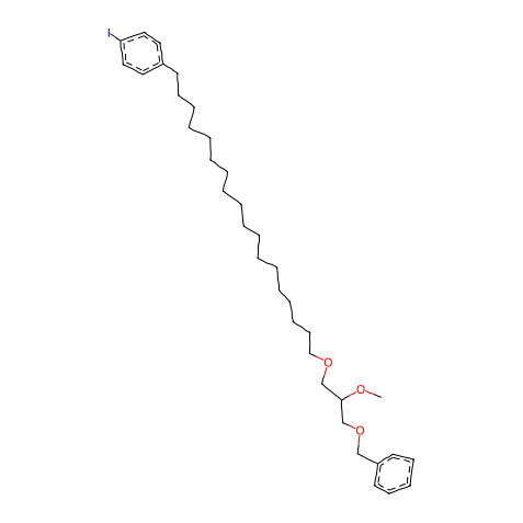 COC(COCCCCCCCCCCCCCCCCCCc1ccc(I)cc1)COCc1ccccc1